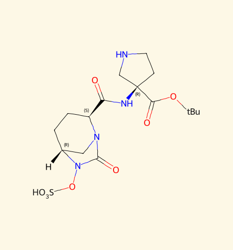 CC(C)(C)OC(=O)[C@@]1(NC(=O)[C@@H]2CC[C@@H]3CN2C(=O)N3OS(=O)(=O)O)CCNC1